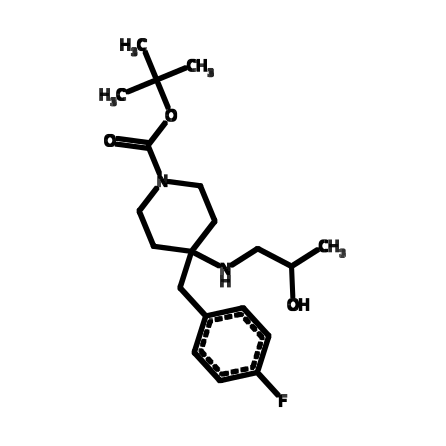 CC(O)CNC1(Cc2ccc(F)cc2)CCN(C(=O)OC(C)(C)C)CC1